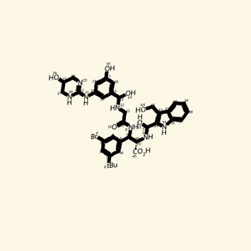 CC(C)(C)c1cc(Br)cc(C(NC(=O)CNC(O)c2cc(O)cc(NC3=NCC(O)CN3)c2)[C@H](NC(O)c2[nH]c3ccccc3c2CO)C(=O)O)c1